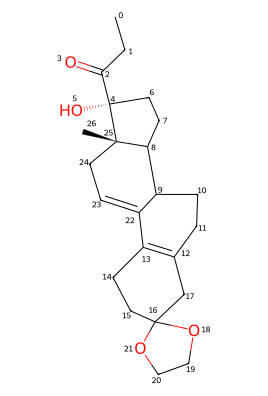 CCC(=O)[C@@]1(O)CCC2C3CCC4=C(CCC5(C4)OCCO5)C3=CC[C@@]21C